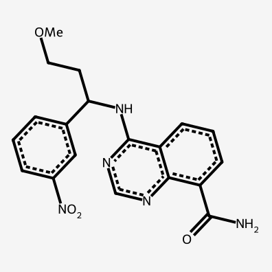 COCCC(Nc1ncnc2c(C(N)=O)cccc12)c1cccc([N+](=O)[O-])c1